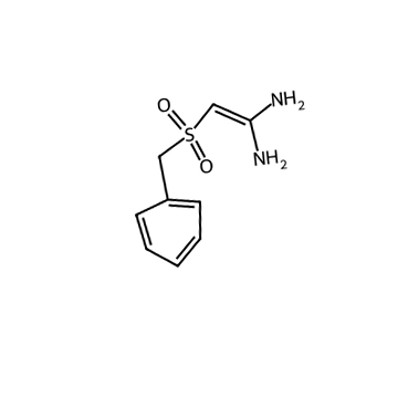 NC(N)=CS(=O)(=O)Cc1ccccc1